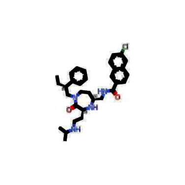 CC[C@H](CN1CC[C@@H](CNC(=O)c2ccc3cc(Cl)ccc3c2)N[C@@H](CCNC(C)C)C1=O)c1ccccc1